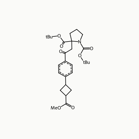 COC(=O)C1CC(c2ccc(C(=O)CC3(C(=O)OC(C)(C)C)CCCN3C(=O)OC(C)(C)C)cc2)C1